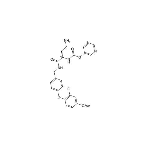 COc1ccc(Oc2ccc(CNC(=O)[C@@H](CCN)NC(=O)Oc3cncnc3)cc2)c(Cl)c1